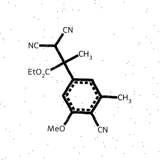 CCOC(=O)C(C)(c1cc(C)c(C#N)c(OC)c1)C(C#N)C#N